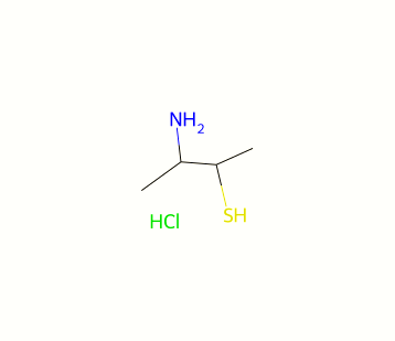 CC(N)C(C)S.Cl